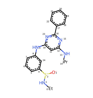 CCN[S+]([O-])c1cccc(Nc2cc(NC(C)C)nc(-c3ccccc3)n2)c1